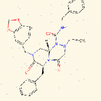 CCN1CC(=O)N2[C@@H](Cc3ccccc3)C(=O)N(Cc3ccc4c(c3)OCO4)C[C@@H]2N1C(=O)NCc1ccccc1